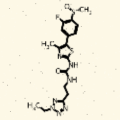 CCn1nnc(CCNC(=O)Nc2nc(C)c(-c3ccc([S+](C)[O-])c(F)c3)s2)n1